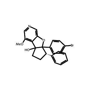 COc1cncc2c1C1(O)CC[C@@H](c3ccccc3)C1(c1ccc(Br)cc1)O2